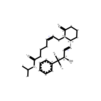 CC(C)OC(=O)CCC/C=C\CN1C(=O)CCC[C@@H]1/C=C/[C@@H](O)C(F)(F)c1ccccc1